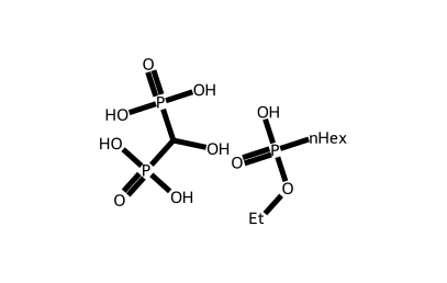 CCCCCCP(=O)(O)OCC.O=P(O)(O)C(O)P(=O)(O)O